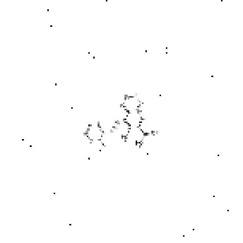 Cc1ccccc1/N=N/c1c(O)c(C(=O)O)cc2ccccc12